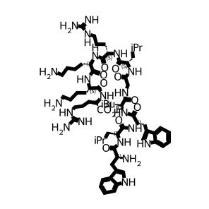 CC[C@H](C)[C@H](NC(=O)[C@H](Cc1c[nH]c2ccccc12)NC(=O)[C@H](CC(C)C)NC(=O)[C@@H](N)Cc1c[nH]c2ccccc12)C(=O)NCC(=O)N[C@@H](CC(C)C)C(=O)N[C@@H](CCCNC(=N)N)C(=O)N[C@@H](CCCCN)C(=O)N[C@@H](CCCCN)C(=O)N[C@@H](CCCNC(=N)N)C(=O)O